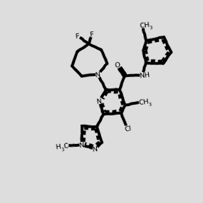 Cc1cccc(NC(=O)c2c(N3CCCC(F)(F)CC3)nc(-c3cnn(C)c3)c(Cl)c2C)c1